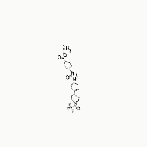 CCOC(=O)C1CCC(N2CCN(c3ccc(C4CCN(C(=O)C(F)(F)F)CC4)cc3)C2=O)CC1